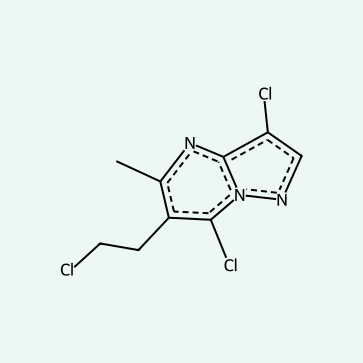 Cc1nc2c(Cl)cnn2c(Cl)c1CCCl